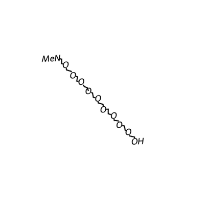 CNCCOCCOCCOCCOCCOCCOCCOCCOCCOCCO